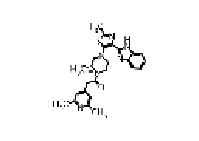 Cc1cc(CC(=O)N2CCN(c3sc(C(F)(F)F)nc3-c3nc4ccccc4[nH]3)C[C@H]2C)cc(C)n1